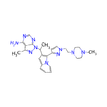 Cc1nn(C(C)c2cc3ccccn3c2-c2ccn(CCN3CCN(C)CC3)n2)c2ncnc(N)c12